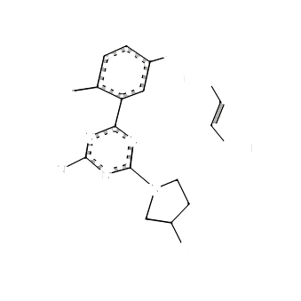 Nc1nc(-c2cc(Cl)ccc2Cl)nc(N2CCC(O)C2)n1.O=C(O)C=CC(=O)O